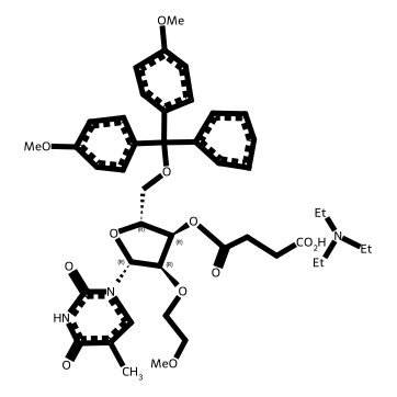 CCN(CC)CC.COCCO[C@@H]1[C@H](OC(=O)CCC(=O)O)[C@@H](COC(c2ccccc2)(c2ccc(OC)cc2)c2ccc(OC)cc2)O[C@H]1n1cc(C)c(=O)[nH]c1=O